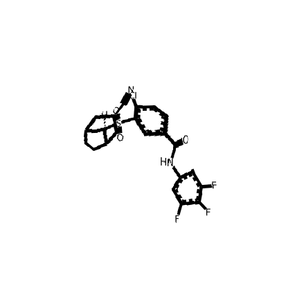 N#C[C@H]1CC2CCC(C1)[C@H]2S(=O)(=O)c1cc(C(=O)Nc2cc(F)c(F)c(F)c2)ccc1Cl